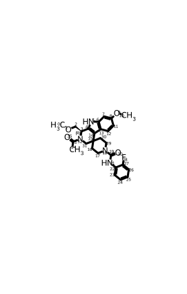 COC[C@H]1c2[nH]c3cc(OC)ccc3c2C2(CCN(C(=O)Nc3ccccc3F)CC2)CN1C(C)=O